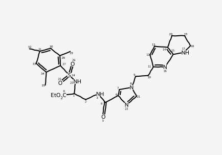 CCOC(=O)C(CNC(=O)c1cn(CCc2ccc3c(n2)NCCC3)cn1)NS(=O)(=O)c1c(C)cc(C)cc1C